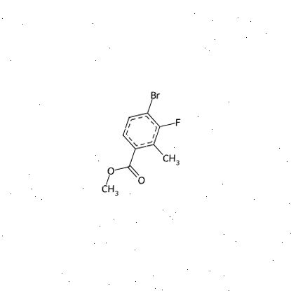 COC(=O)c1ccc(Br)c(F)c1C